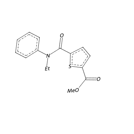 CCN(C(=O)c1ccc(C(=O)OC)s1)c1ccccc1